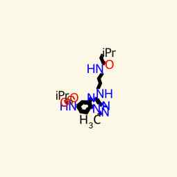 Cc1nnc2c(NCCCCNC(=O)CC(C)C)nc3cc(NS(=O)(=O)C(C)C)ccc3n12